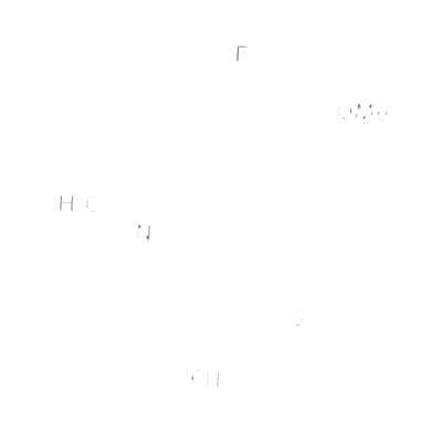 COc1cc2c(=S)c(C)cn(C)c2cc1F